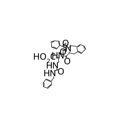 O=C(NCc1ccccc1)NCC(NC(=O)C1Cc2ccccc2CN1S(=O)(=O)c1ccccc1)C(=O)O